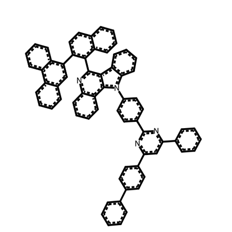 c1ccc(-c2ccc(-c3cc(-c4ccccc4)nc(-c4ccc(-n5c6ccccc6c6c(-c7c(-c8cc9ccccc9c9ccccc89)ccc8ccccc78)nc7ccccc7c65)cc4)n3)cc2)cc1